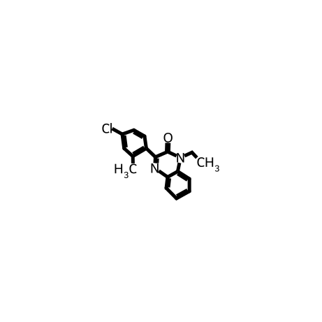 CCn1c(=O)c(-c2ccc(Cl)cc2C)nc2ccccc21